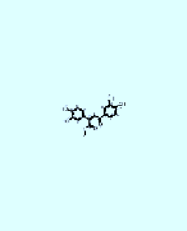 COC(=O)/C(=C\C(=O)c1ccc(O)c(O)c1)c1ccc(O)c(O)c1